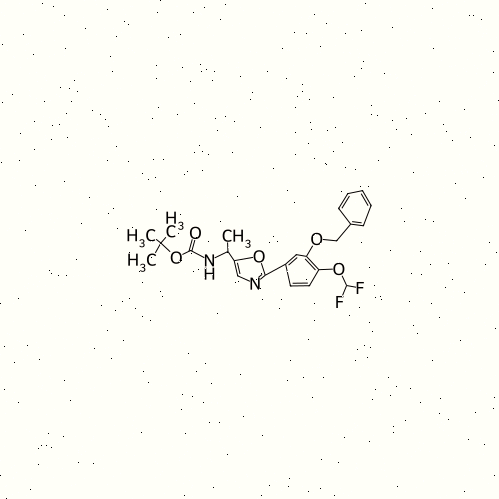 CC(NC(=O)OC(C)(C)C)c1cnc(-c2ccc(OC(F)F)c(OCc3ccccc3)c2)o1